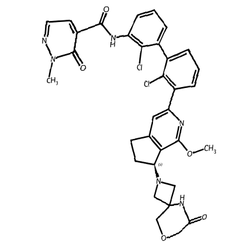 COc1nc(-c2cccc(-c3cccc(NC(=O)c4ccnn(C)c4=O)c3Cl)c2Cl)cc2c1[C@@H](N1CC3(COCC(=O)N3)C1)CC2